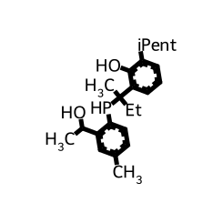 CCCC(C)c1cccc(C(C)(CC)Pc2ccc(C)cc2C(C)O)c1O